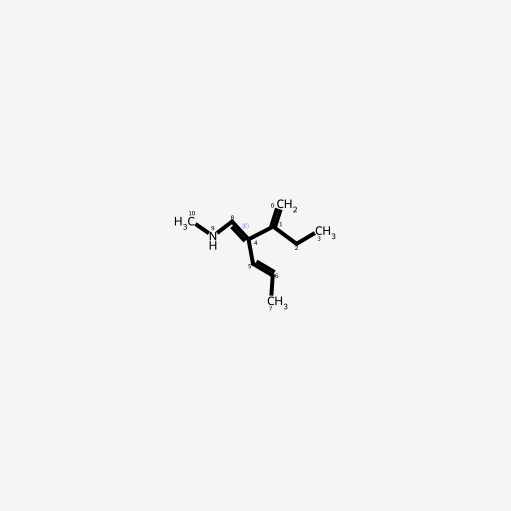 C=C(CC)/C(C=CC)=C/NC